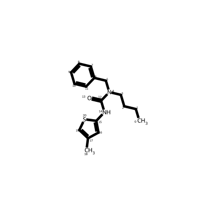 CCCCN(Cc1ccccc1)C(=O)Nc1cc(C)cs1